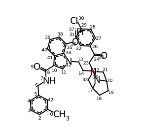 Cc1cccc(CNC(=O)c2cn(CCCN3C4CCC3CN(CC(=O)c3ccc(Cl)cc3)C4)c3c(OC(C)C)cccc23)c1